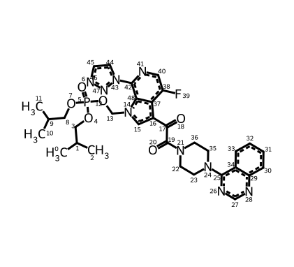 CC(C)COP(=O)(OCC(C)C)OCn1cc(C(=O)C(=O)N2CCN(c3ncnc4ccccc34)CC2)c2c(F)cnc(-n3ccnn3)c21